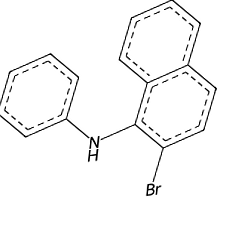 Brc1ccc2ccccc2c1Nc1ccccc1